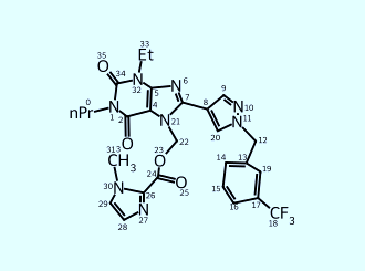 CCCn1c(=O)c2c(nc(-c3cnn(Cc4cccc(C(F)(F)F)c4)c3)n2COC(=O)c2nccn2C)n(CC)c1=O